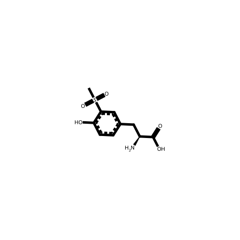 CS(=O)(=O)c1cc(C[C@H](N)C(=O)O)ccc1O